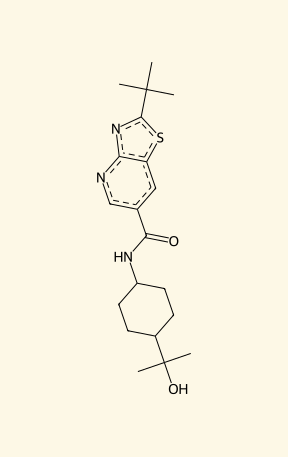 CC(C)(C)c1nc2ncc(C(=O)NC3CCC(C(C)(C)O)CC3)cc2s1